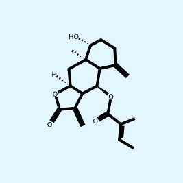 C=C1C(=O)O[C@H]2C[C@]3(C)C(C(=C)CC[C@H]3O)[C@@H](OC(=O)/C(C)=C/C)C12